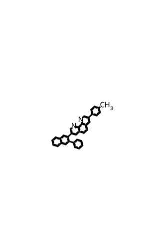 Cc1ccc(-c2cnc3c(ccc4cc(-c5cc6ccccc6cc5-c5ccccc5)cnc43)c2)cc1